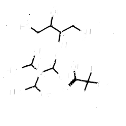 CC(C)[SiH](C(C)C)C(C)C.O=C(O)C(F)(F)F.OC(CS)C(O)CS